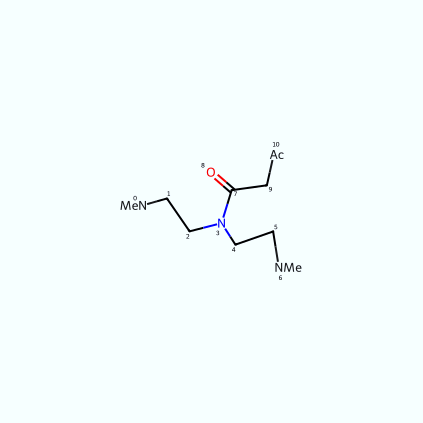 CNCCN(CCNC)C(=O)CC(C)=O